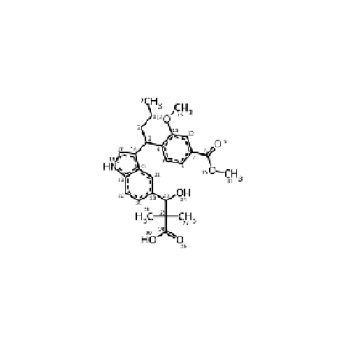 CCCC(c1ccc(C(=O)OC)cc1OC)c1c[nH]c2ccc(C(O)C(C)(C)C(=O)O)cc12